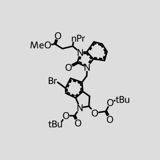 CCCC(CC(=O)OC)n1c(=O)n(Cc2cc(Br)cc3c2CC(OC(=O)OC(C)(C)C)N3C(=O)OC(C)(C)C)c2ccccc21